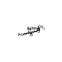 CC(=O)CCCCCNC(=O)CCCCC1SCC(C)C1NC(C)=O